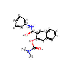 CCN(CC)C(=O)Oc1cc2ccccc2cc1C(=O)Nc1ccccc1